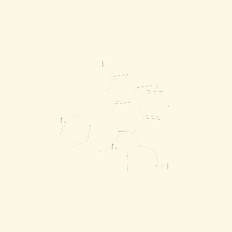 Cc1ccc(-c2c(CO)c(C)n(Cc3ccncc3)c2Sc2cc(Cl)cc(Cl)c2)cc1